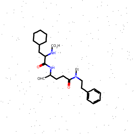 CCN(CCc1ccccc1)C(=O)CCC(C=O)NC(=O)C(CC1CCCCC1)NC(=O)O